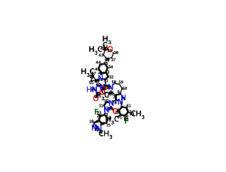 Cc1cc(-n2nc3c(c2-n2ccn(-c4ccc5c(cnn5C)c4F)c2=O)[C@H](C)N(C(=O)c2cc4cc([C@H]5CCOC(C)(C)C5)ccc4n2[C@@]2(c4noc(=O)[nH]4)C[C@@H]2C)CCC3)cc(C)c1F